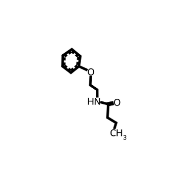 CCCC(=O)NCCOc1ccccc1